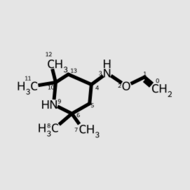 C=CONC1CC(C)(C)NC(C)(C)C1